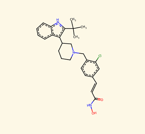 CC(C)(C)c1[nH]c2ccccc2c1C1CCCN(Cc2ccc(C=CC(=O)NO)cc2Cl)C1